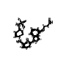 CS(=O)(=O)N[C@H]1CC[C@H](Nc2nccc(-n3ncc4c(OCCO)cccc43)n2)CC1